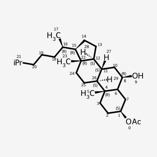 CC(=O)O[C@H]1CC[C@@]2(C)C(C1)[C@H](O)C[C@H]1[C@@H]3CC[C@H]([C@H](C)CCCC(C)C)[C@@]3(C)CC[C@@H]12